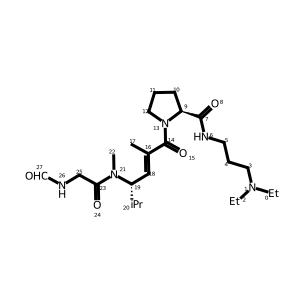 CCN(CC)CCCNC(=O)[C@@H]1CCCN1C(=O)/C(C)=C/[C@H](C(C)C)N(C)C(=O)CNC=O